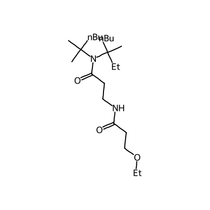 CCCCC(C)(C)N(C(=O)CCNC(=O)CCOCC)C(C)(CC)CCCC